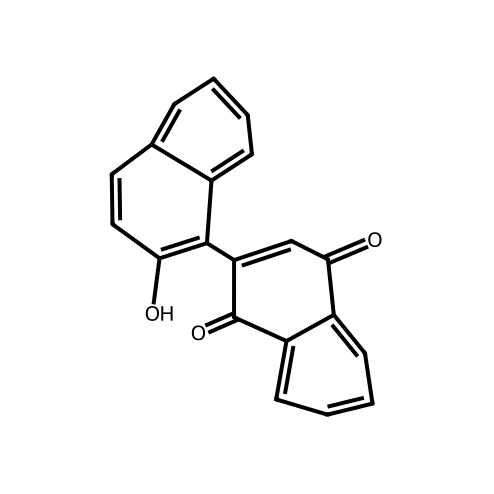 O=C1C=C(c2c(O)ccc3ccccc23)C(=O)c2ccccc21